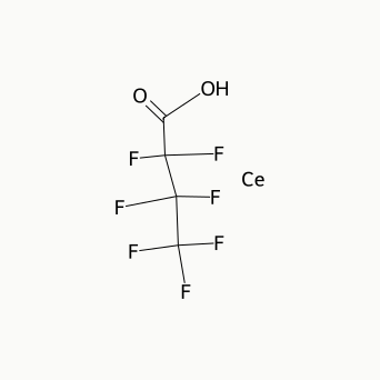 O=C(O)C(F)(F)C(F)(F)C(F)(F)F.[Ce]